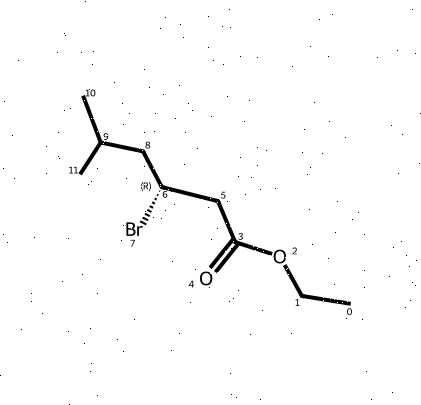 CCOC(=O)C[C@H](Br)CC(C)C